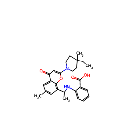 CCC1(C)CCN(c2cc(=O)c3cc(C)cc(C(C)Nc4ccccc4C(=O)O)c3o2)CC1